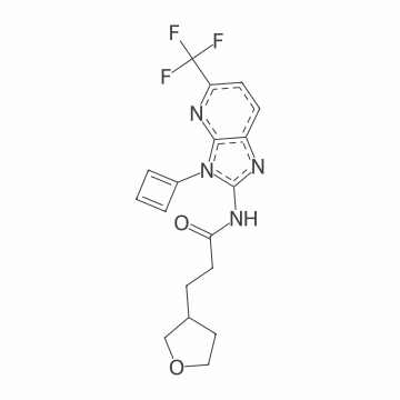 O=C(CCC1CCOC1)Nc1nc2ccc(C(F)(F)F)nc2n1C1=CC=C1